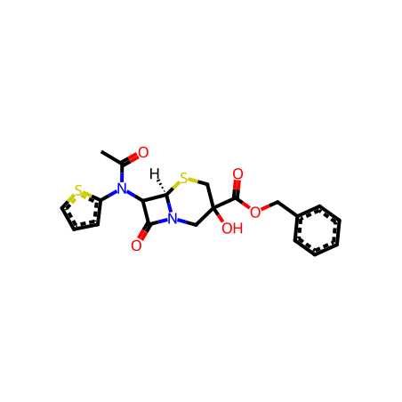 CC(=O)N(c1cccs1)C1C(=O)N2CC(O)(C(=O)OCc3ccccc3)CS[C@H]12